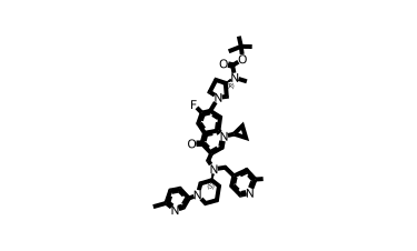 Cc1ccc(N2CCC[C@H](N(Cc3ccnc(C)c3)Cc3cn(C4CC4)c4cc(N5CC[C@@H](N(C)C(=O)OC(C)(C)C)C5)c(F)cc4c3=O)C2)cn1